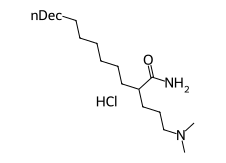 CCCCCCCCCCCCCCCCC(CCCN(C)C)C(N)=O.Cl